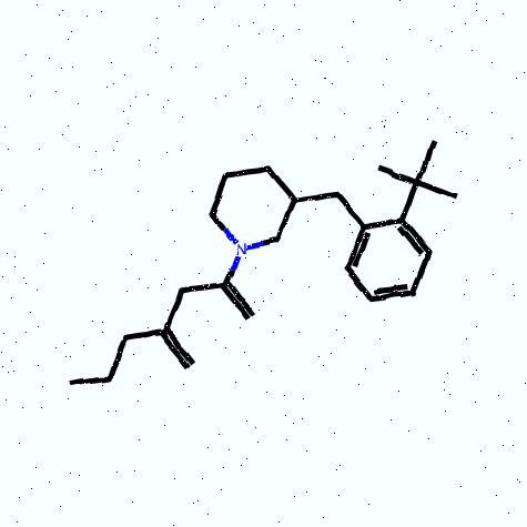 C=C(CCC)CC(=C)N1CCCC(Cc2ccccc2C(C)(C)C)C1